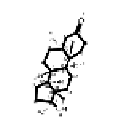 C[C@]12CCC(=O)C[C@@H]1CC[C@@H]1[C@@H]2CC[C@@]2(C)[C@H]1CC[C@]2(C)O